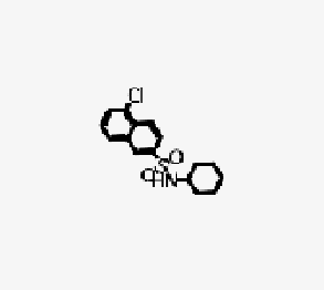 O=S(=O)(NC1CCCCC1)c1ccc2c(Cl)cccc2c1